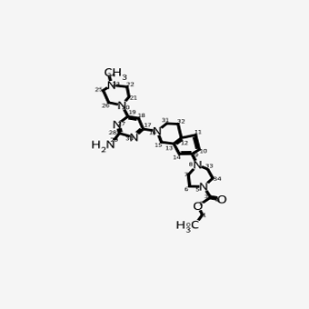 CCOC(=O)N1CCN(c2ccc3c(c2)CN(c2cc(N4CCN(C)CC4)nc(N)n2)CC3)CC1